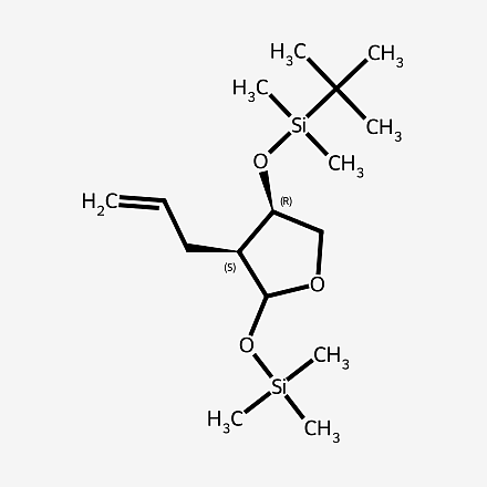 C=CC[C@@H]1C(O[Si](C)(C)C)OC[C@@H]1O[Si](C)(C)C(C)(C)C